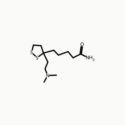 CN(C)CCC1(CCCCC(N)=O)CCSS1